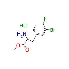 COC(=O)C(N)Cc1ccc(F)c(Br)c1.Cl